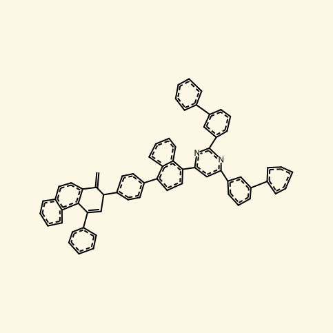 C=C1c2ccc3ccccc3c2C(c2ccccc2)=CC1c1ccc(-c2ccc(-c3cc(-c4cccc(-c5ccccc5)c4)nc(-c4cccc(-c5ccccc5)c4)n3)c3ccccc23)cc1